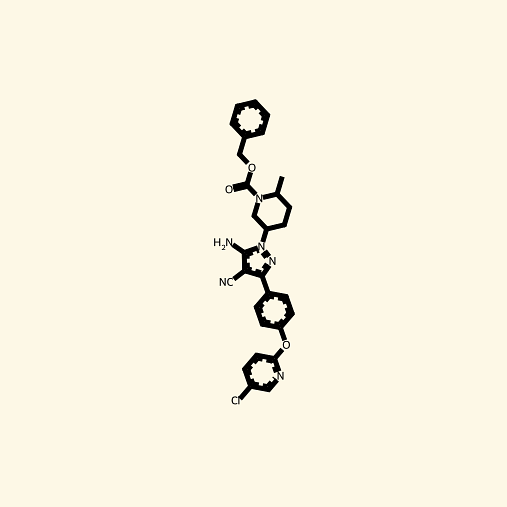 CC1CCC(n2nc(-c3ccc(Oc4ccc(Cl)cn4)cc3)c(C#N)c2N)CN1C(=O)OCc1ccccc1